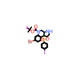 CC(C)(I)OC(=O)N1CC2NCCC2(S(=O)(=O)c2ccc(I)cc2)c2ccc(Br)cc21